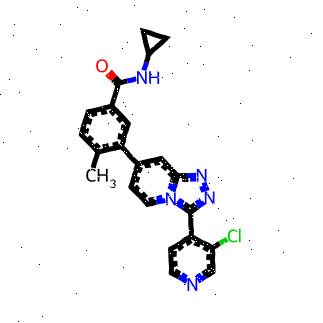 Cc1ccc(C(=O)NC2CC2)cc1-c1ccn2c(-c3ccncc3Cl)nnc2c1